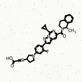 C[C@@H]1c2ccccc2CCN1C(=O)c1cc2cc(-c3ccc(N4CCC([Si]#CC(=O)O)C4)cc3F)nn2c(C2CC2)n1